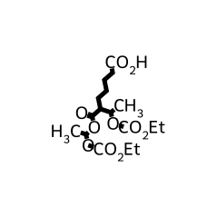 CCOC(=O)OC(C)OC(=O)C(CCCCC(=O)O)C(C)OC(=O)OCC